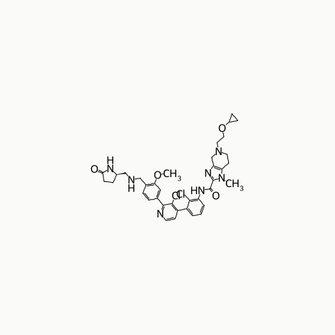 COc1cc(-c2nccc(-c3cccc(NC(=O)c4nc5c(n4C)CCN(CCOC4CC4)C5)c3Cl)c2Cl)ccc1CNC[C@H]1CCC(=O)N1